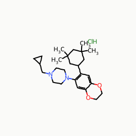 CC1(C)CC(c2cc3c(cc2N2CCN(CC4CC4)CC2)OCCO3)CC(C)(C)C1.Cl